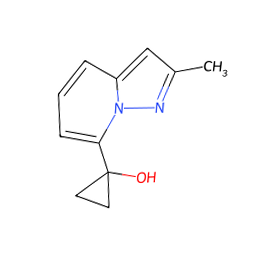 Cc1cc2cccc(C3(O)CC3)n2n1